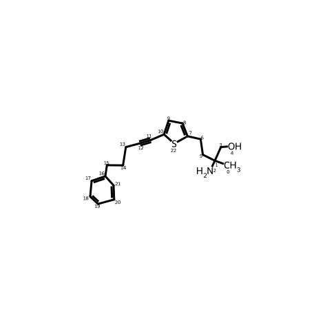 CC(N)(CO)CCc1ccc(C#CCCCc2ccccc2)s1